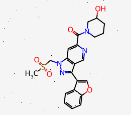 CS(=O)(=O)Cn1nc(-c2coc3ccccc23)c2cnc(C(=O)N3CCCC(O)C3)cc21